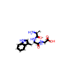 C[C@H](N)C(=O)N[C@@H](Cc1c[nH]c2ccccc12)C(=O)NCC(=O)O